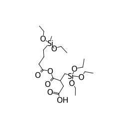 CCO[Si](C)(CCCC(=O)OC(=O)C(CC(=O)O)C[Si](OCC)(OCC)OCC)OCC